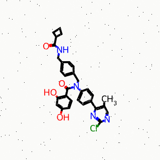 Cc1cnc(Cl)nc1-c1ccc(N(Cc2ccc(CNC(=O)C3CCC3)cc2)C(=O)c2ccc(O)cc2O)cc1